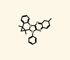 CC1C=Cc2nc3c(nc2C1)N1c2ccccc2C2(C)CC2(C)C1N3c1ccccc1